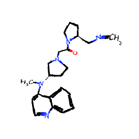 C=NC[C@@H]1CCCN1C(=O)CN1CC[C@H](N(C)c2ccnc3ccccc23)C1